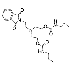 CCCNC(=O)OCCN(CCOC(=O)NCCC)CCN1C(=O)c2ccccc2C1=O